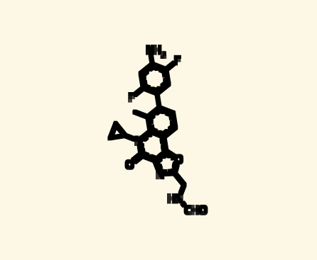 Cc1c(-c2cc(F)c(N)cc2F)ccc2c3oc(CNC=O)nc3c(=O)n(C3CC3)c12